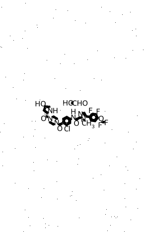 Cn1c(-c2ccc(OC(F)F)c(F)c2F)cnc1C(=O)Nc1ccc(C(=O)N2CCN(C(=O)[C@@H]3C[C@@H](O)CN3)CC2)c(Cl)c1.O=CO